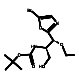 CCO[C@@H](c1ncc(Br)o1)[C@@H](CO)NC(=O)OC(C)(C)C